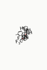 Cc1ccc(C(=O)N2[C@@H]3CC[C@H]2[C@H](Nc2ccc(C(F)(F)F)cn2)C3)c(-n2nccn2)c1F